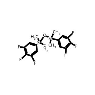 C[Si](C)(O[Si](C)(C)c1cc(F)c(F)c(F)c1)c1cc(F)c(F)c(F)c1